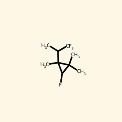 CC(C(F)(F)F)C1(C)C(F)C1(C)C